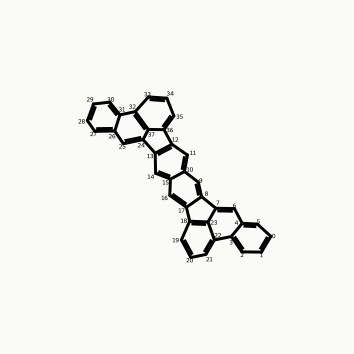 c1ccc2c(c1)cc1c3cc4cc5c(cc4cc3c3cccc2c31)c1cc2ccccc2c2cccc5c21